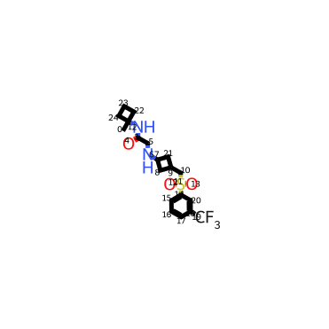 CC1(NC(=O)CNC2CC(CS(=O)(=O)c3cccc(C(F)(F)F)c3)C2)CCC1